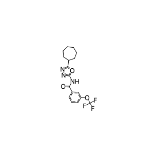 O=C(Nc1nnc(C2CCCCCC2)o1)c1cccc(OC(F)(F)F)c1